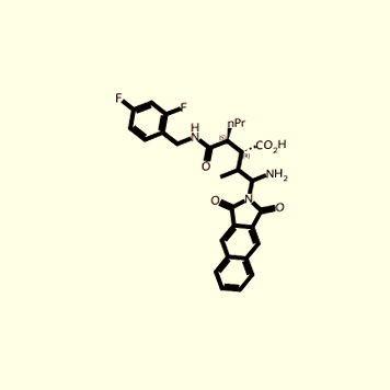 CCC[C@H](C(=O)NCc1ccc(F)cc1F)[C@H](C(=O)O)C(C)C(N)N1C(=O)c2cc3ccccc3cc2C1=O